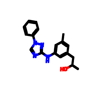 Cc1cc(CC(C)O)cc(Nc2ncn(-c3ccccc3)n2)c1